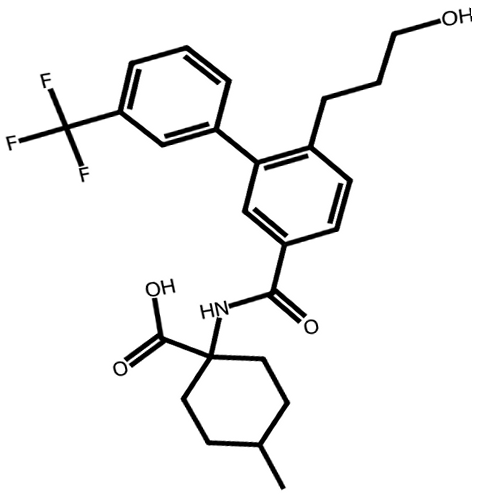 CC1CCC(NC(=O)c2ccc(CCCO)c(-c3cccc(C(F)(F)F)c3)c2)(C(=O)O)CC1